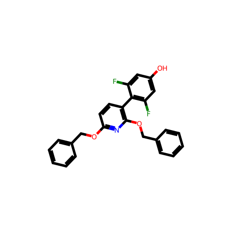 Oc1cc(F)c(-c2ccc(OCc3ccccc3)nc2OCc2ccccc2)c(F)c1